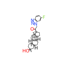 C[C@@]1(O)CC[C@@]2(C)[C@@H](CC[C@@H]3[C@@H]2CC[C@]2(C)[C@@H](C(=O)Cn4nnc5ccc(F)cc54)CC[C@@H]32)C1